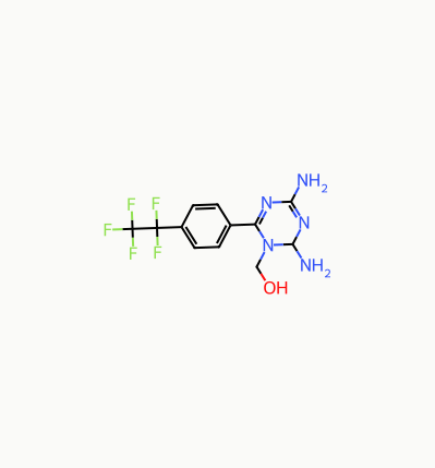 NC1=NC(N)N(CO)C(c2ccc(C(F)(F)C(F)(F)F)cc2)=N1